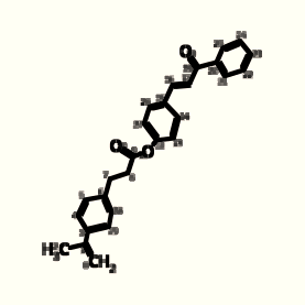 C=C(C)c1ccc(CCC(=O)Oc2ccc(C=CC(=O)c3ccccc3)cc2)cc1